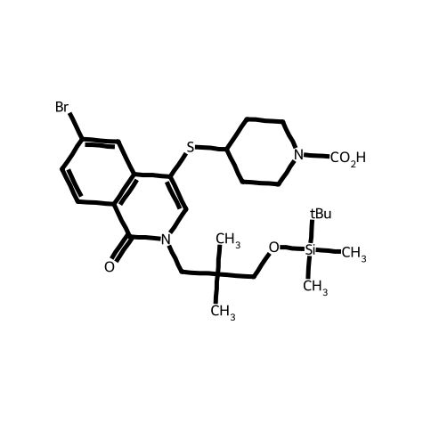 CC(C)(CO[Si](C)(C)C(C)(C)C)Cn1cc(SC2CCN(C(=O)O)CC2)c2cc(Br)ccc2c1=O